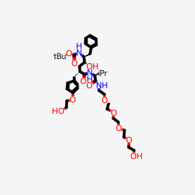 CC(C)[C@H](NC(=O)[C@H](Cc1ccc(OCCO)cc1)C[C@H](O)[C@H](Cc1ccccc1)NC(=O)OC(C)(C)C)C(=O)NCCOCCOCCOCCOCCO